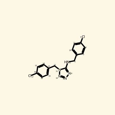 Clc1ccc(CNc2nnnn2Cc2ccc(Cl)cc2)cc1